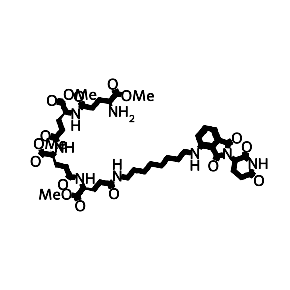 COC(=O)[C@H](CCC(=O)NCCCCCCCCNc1cccc2c1C(=O)N(C1CCC(=O)NC1=O)C2=O)NC(=O)CC[C@H](NC(=O)CC[C@H](NC(=O)CC[C@H](N)C(=O)OC)C(=O)OC)C(=O)OC